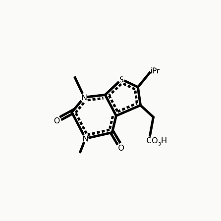 CC(C)c1sc2c(c1CC(=O)O)c(=O)n(C)c(=O)n2C